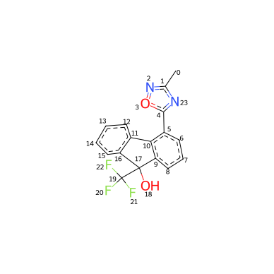 Cc1noc(-c2cccc3c2-c2ccccc2C3(O)C(F)(F)F)n1